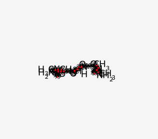 CC1=CC2=Nc3cc(C)c(N)cc3N(c3ccccc3)C2C=C1C(=O)CCCCCCNC(=O)c1ccc(-c2ccc(C(=O)NCCCCCCC(=O)c3cc4c(cc3C)nc3cc(C)c(N)cc3[n+]4-c3ccccc3)cc2)cc1